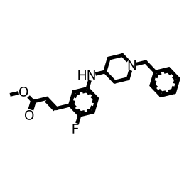 COC(=O)C=Cc1cc(NC2CCN(Cc3ccccc3)CC2)ccc1F